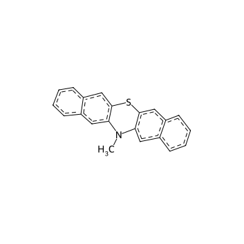 CN1c2cc3ccccc3cc2Sc2cc3ccccc3cc21